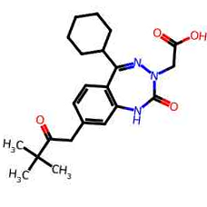 CC(C)(C)C(=O)Cc1ccc2c(c1)NC(=O)N(CC(=O)O)N=C2C1CCCCC1